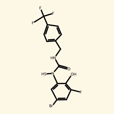 O=C(NCc1ccc(C(F)(F)F)cc1)N(S)c1cc(Br)cc(F)c1O